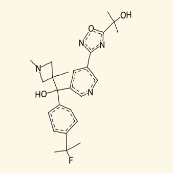 CN1CC(C)(C(O)(c2ccc(C(C)(C)F)cc2)c2cncc(-c3noc(C(C)(C)O)n3)c2)C1